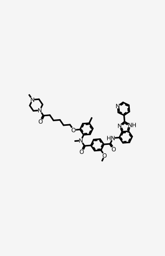 COc1cc(C(=O)N(C)c2ccc(C)cc2OCCCCCC(=O)N2CCN(C)CC2)ccc1C(=O)Nc1cccc2[nH]c(-c3cccnc3)nc12